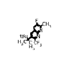 Cc1nc2nc(C(F)(F)F)c(C(C)(C)C(C)(C)C)cc2cc1F